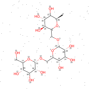 C[C@H]1OC(CO[C@H]2OC(CO[C@H]3OC(CO)[C@@H](O)C(O)[C@H]3O)[C@@H](O)C(O)[C@H]2O)[C@@H](O)[C@H](O)C1O